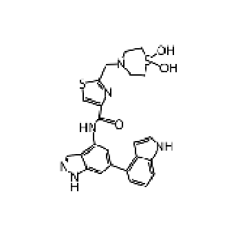 O=C(Nc1cc(-c2cccc3[nH]ccc23)cc2[nH]ncc12)c1csc(CN2CCS(O)(O)CC2)n1